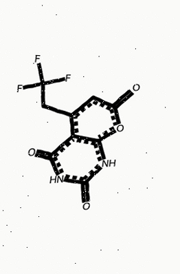 O=c1[nH]c(=O)c2c(CC(F)(F)F)cc(=O)oc2[nH]1